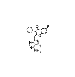 Nc1ncnc2c1c(I)nn2Cc1oc2ccc(F)cc2c(=O)c1-c1ccccc1